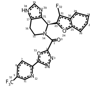 O=C(c1nnc(-c2ccc(C(F)(F)F)cn2)o1)N1CCc2[nH]cnc2[C@H]1c1oc2ccccc2c1F